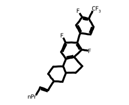 CCCC=CC1CCC2c3cc(F)c(-c4ccc(C(F)(F)F)c(F)c4)c(F)c3CCC2C1